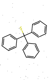 [S]C(c1ccccc1)(c1ccccc1)c1ccccc1